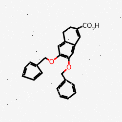 O=C(O)C1=Cc2cc(OCc3ccccc3)c(OCc3ccccc3)cc2CC1